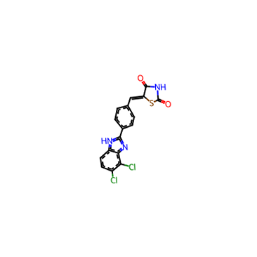 O=C1NC(=O)C(=Cc2ccc(-c3nc4c(Cl)c(Cl)ccc4[nH]3)cc2)S1